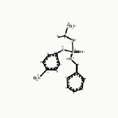 C[C@H](NP(=O)(NCc1ccccc1)Oc1ccc([N+](=O)[O-])cc1)C(=O)O